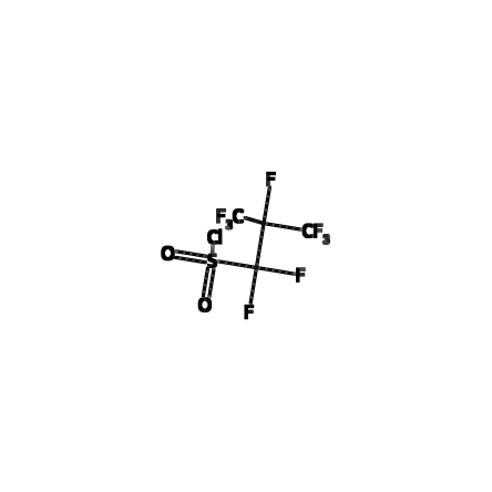 O=S(=O)(Cl)C(F)(F)C(F)(C(F)(F)F)C(F)(F)F